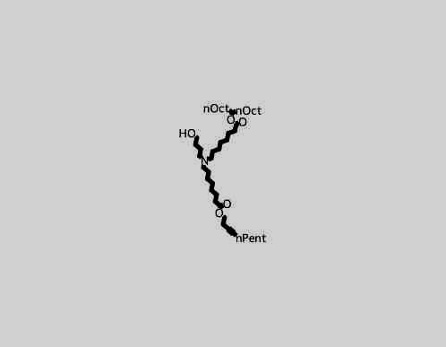 CCCCCC#CCCOC(=O)CCCCCCCN(CCCCO)CCCCCCCC(=O)OC(CCCCCCCC)CCCCCCCC